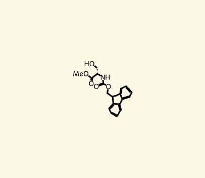 COC(=O)[C@H](CO)NC(=O)OCC1c2ccccc2-c2ccccc21